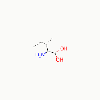 CC[C@H](C)[C@H](N)C(O)O